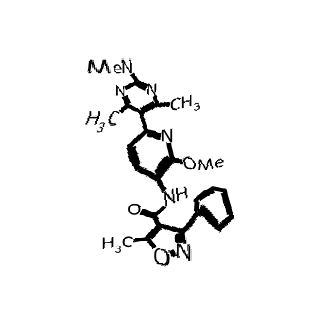 CNc1nc(C)c(-c2ccc(NC(=O)c3c(-c4ccccc4)noc3C)c(OC)n2)c(C)n1